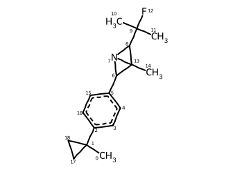 CC1(c2ccc(C3N4C(C(C)(C)F)C34C)cc2)CC1